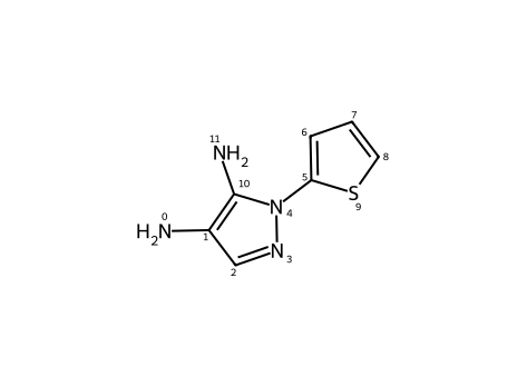 Nc1cnn(-c2cccs2)c1N